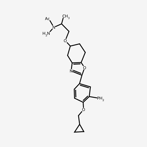 CC(=O)N(N)C(C)COC1CCc2oc(-c3ccc(OCC4CC4)c(P)c3)nc2C1